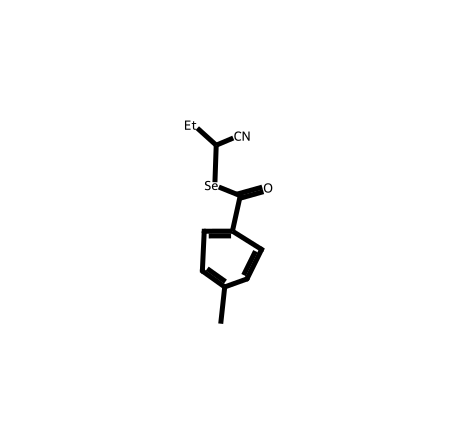 CCC(C#N)[Se]C(=O)c1ccc(C)cc1